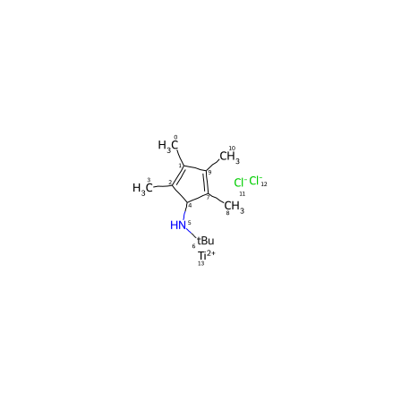 CC1=C(C)C(NC(C)(C)C)C(C)=C1C.[Cl-].[Cl-].[Ti+2]